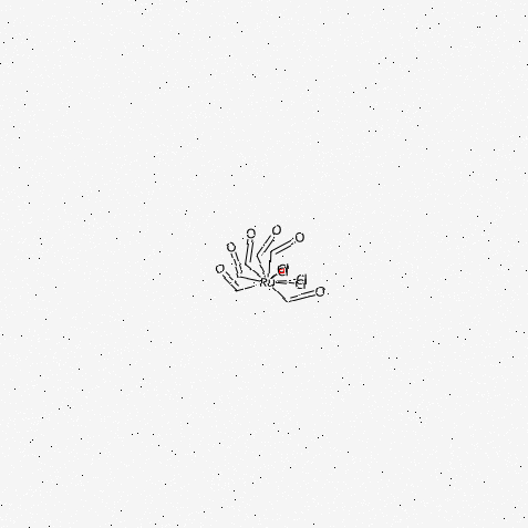 O=[CH][Ru]([Cl])([Cl])([Cl])([Cl])([CH]=O)([CH]=O)([CH]=O)([CH]=O)[CH]=O